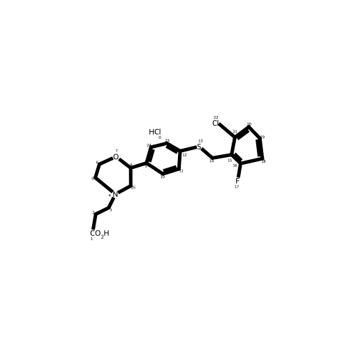 Cl.O=C(O)CCN1CCOC(c2ccc(SCc3c(F)cccc3Cl)cc2)C1